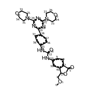 COCC1OC(=O)c2ccc(NC(=O)Nc3ccc(-c4nc(N5CCOCC5)nc(N5CCOCC5)n4)cc3)cc21